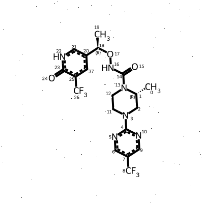 C[C@@H]1CN(c2ncc(C(F)(F)F)cn2)CCN1C(=O)NO[C@H](C)c1c[nH]c(=O)c(C(F)(F)F)c1